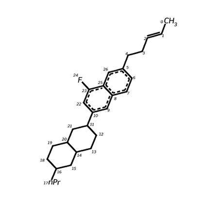 CC=CCCc1ccc2cc(C3CCC4CC(CCC)CCC4C3)cc(F)c2c1